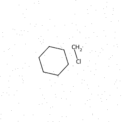 [CH2]Cl.[CH]1CCCCC1